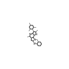 Cc1cc(C)c(-c2c(C)nn3c2nc(C)c2cc(C(C)C)n(Cc4ccccc4)c23)c(C)c1